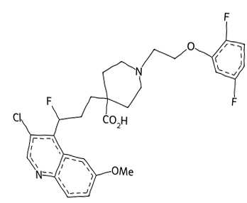 COc1ccc2ncc(Cl)c(C(F)CCC3(C(=O)O)CCN(CCOc4cc(F)ccc4F)CC3)c2c1